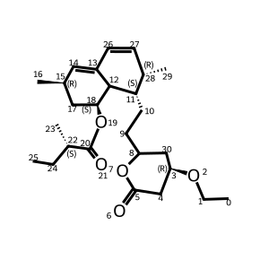 CCO[C@H]1CC(=O)OC(CC[C@@H]2C3C(=C[C@H](C)C[C@@H]3OC(=O)[C@@H](C)CC)C=C[C@@H]2C)C1